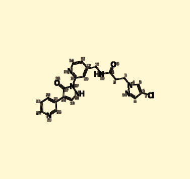 O=C(CCn1cc(Cl)cn1)NCc1ccnc(-n2[nH]cc(-c3cccnc3)c2=O)c1